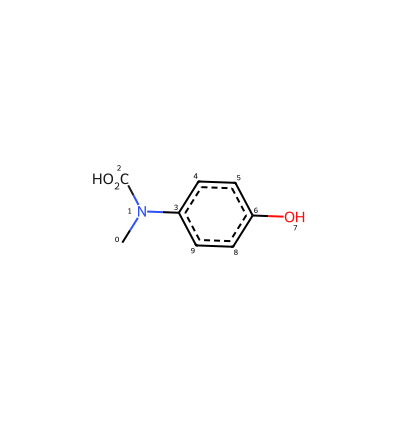 CN(C(=O)O)c1ccc(O)cc1